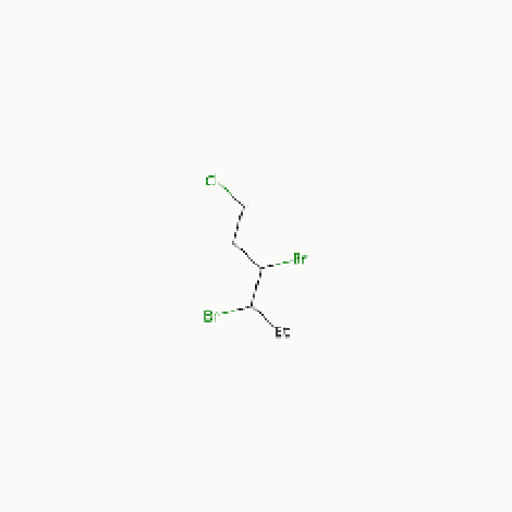 CCC(Br)C(Br)C[CH]Cl